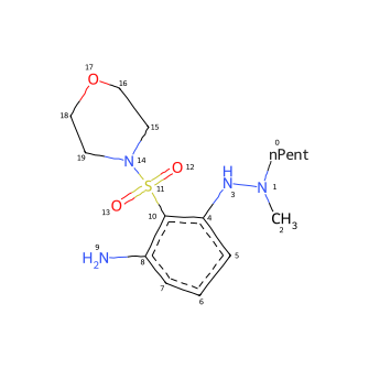 CCCCCN(C)Nc1cccc(N)c1S(=O)(=O)N1CCOCC1